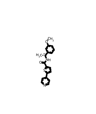 COc1cccc([C@@H](C)NC(=O)c2ccc(-c3ccncc3)s2)c1